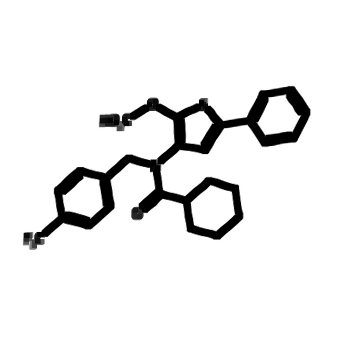 O=C(O)Oc1sc(-c2ccccc2)cc1N(Cc1ccc(C(F)(F)F)cc1)C(=O)C1CCCCC1